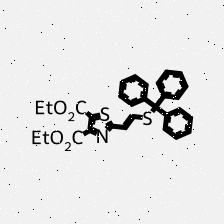 CCOC(=O)c1nc(C=CSC(c2ccccc2)(c2ccccc2)c2ccccc2)sc1C(=O)OCC